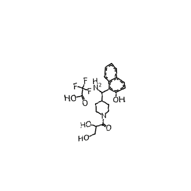 NC(c1c(O)ccc2ccccc12)C1CCN(C(=O)C(O)CO)CC1.O=C(O)C(F)(F)F